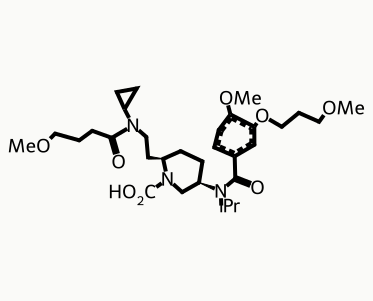 COCCCOc1cc(C(=O)N(C(C)C)[C@@H]2CC[C@H](CCN(C(=O)CCCOC)C3CC3)N(C(=O)O)C2)ccc1OC